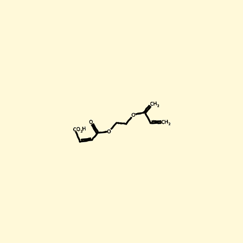 C=CC(=C)OCCOC(=O)/C=C\C(=O)O